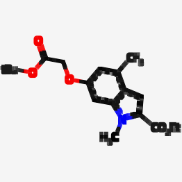 CCOC(=O)c1cc2c(C(F)(F)F)cc(OCC(=O)OC(C)(C)C)cc2n1C